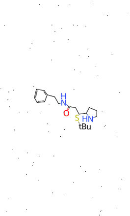 CC(C)(C)SC(CC(=O)NCCc1ccccc1)C1CCCN1